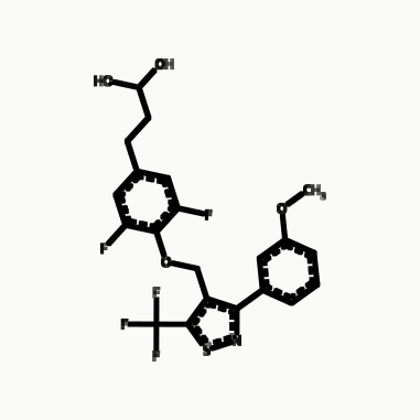 COc1cccc(-c2nsc(C(F)(F)F)c2COc2c(F)cc(CCC(O)O)cc2F)c1